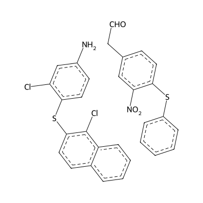 Nc1ccc(Sc2ccc3ccccc3c2Cl)c(Cl)c1.O=CCc1ccc(Sc2ccccc2)c([N+](=O)[O-])c1